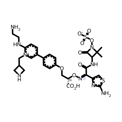 CC1(C)C(NC(=O)/C(=N\O[C@@H](COc2ccc(-c3ccc(NCCN)[n+](CC4CNC4)c3)cc2)C(=O)O)c2csc(N)n2)C(=O)N1OS(=O)(=O)[O-]